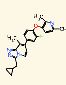 Cc1ccc(Oc2ccc(-c3ccn4c(CC5CC5)nnc4c3C)cc2F)c(C)n1